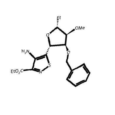 CCOC(=O)c1nsc([C@@H]2O[C@H](CC)[C@@H](OC)[C@H]2OCc2ccccc2)c1N